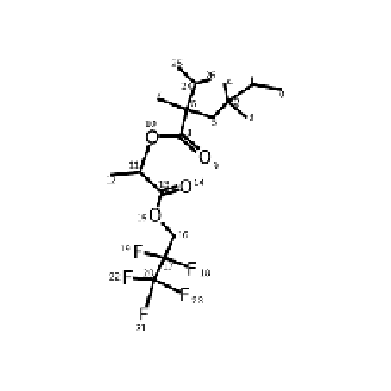 CCC(C)(C)CC(C)(C(=O)OC(C)C(=O)OCC(F)(F)C(F)(F)F)C(C)C